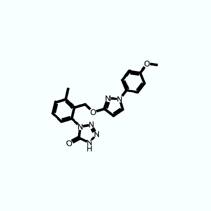 COc1ccc(-n2ccc(OCc3c(C)cccc3-n3nn[nH]c3=O)n2)cc1